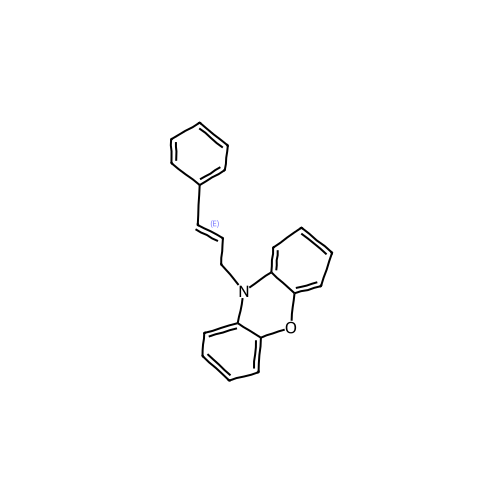 C(=C\c1ccccc1)/CN1c2ccccc2Oc2ccccc21